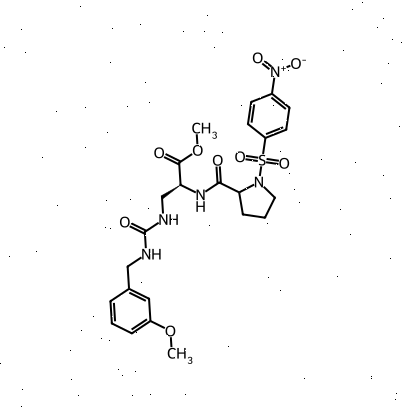 COC(=O)[C@H](CNC(=O)NCc1cccc(OC)c1)NC(=O)C1CCCN1S(=O)(=O)c1ccc([N+](=O)[O-])cc1